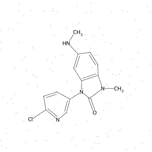 CNc1ccc2c(c1)n(-c1ccc(Cl)nc1)c(=O)n2C